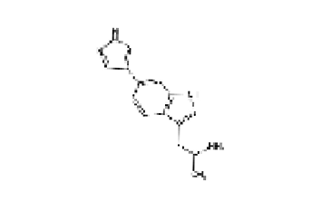 CC(N)Cc1c[nH]c2cc(-c3cn[nH]c3)ccc12